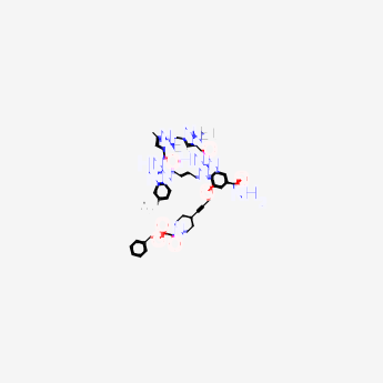 CCn1nc(C)cc1C(=O)Nc1nc2cc(C(C)=O)ccc2n1C/C=C/Cn1c(NC(=O)c2cc(C)nn2CC)nc2cc(C(N)=O)cc(OCC#CC3CCN(C(=O)C(=O)OCc4ccccc4)CC3)c21